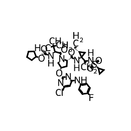 C=C[C@@H]1C[C@]1(NC(=O)[C@@H]1C[C@@H](Oc2nc(Cl)cc(Nc3ccc(F)cc3)n2)CN1C(=O)[C@@H](NC(=O)OC1CCCC1)C(C)(C)C)C(=C)NS(=O)(=O)C1CC1